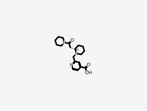 O=C(O)c1ccnc(CN2CCCC[C@H]2CC(=O)N2CCCCC2)c1